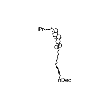 CCCCCCCCCCCCC#CC#CCCCCCCCCC(=O)OC1CC[C@@]2(C)C(=CCC3C2CC[C@@]2(C)C3CC[C@@H]2[C@H](C)CCCC(C)C)C1